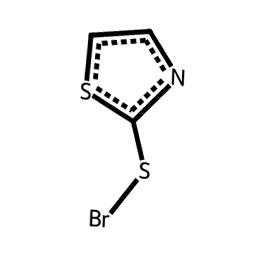 BrSc1nccs1